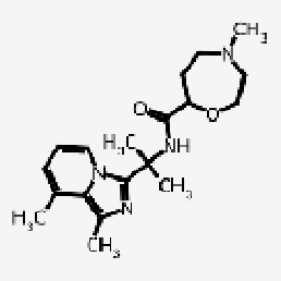 Cc1cccn2c(C(C)(C)NC(=O)C3CCN(C)CCO3)nc(C)c12